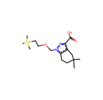 CC1(C)CCc2c(c(C(=O)O)nn2COCCS(C)(C)C)C1